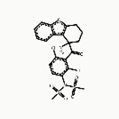 CS(=O)(=O)N(c1ccc(Cl)c(C(=O)C2(N)CCCc3oc4ccccc4c32)c1Cl)S(C)(=O)=O